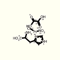 NC(Cc1c[nH]cn1)C(=O)O.O=C(O)C(=O)O.O=[N+]([O-])[Pt][Cl]